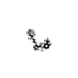 N=C(Nc1ccc(F)c(C(F)(F)F)c1)c1nonc1SCCNC(=O)CS(N)(=O)=O